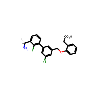 C[C@@H](N)c1cccc(-c2cc(Cl)cc(COc3ccccc3CC(=O)O)c2)c1F